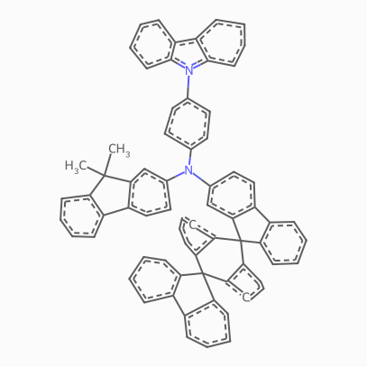 CC1(C)c2ccccc2-c2ccc(N(c3ccc(-n4c5ccccc5c5ccccc54)cc3)c3ccc4c(c3)C3(c5ccccc5-4)c4ccccc4C4(c5ccccc5-c5ccccc54)c4ccccc43)cc21